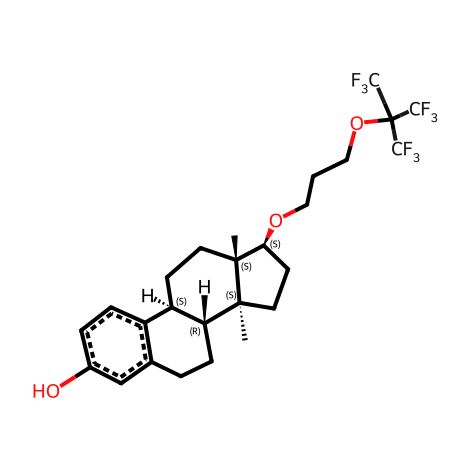 C[C@@]12CC[C@H](OCCCOC(C(F)(F)F)(C(F)(F)F)C(F)(F)F)[C@@]1(C)CC[C@@H]1c3ccc(O)cc3CC[C@H]12